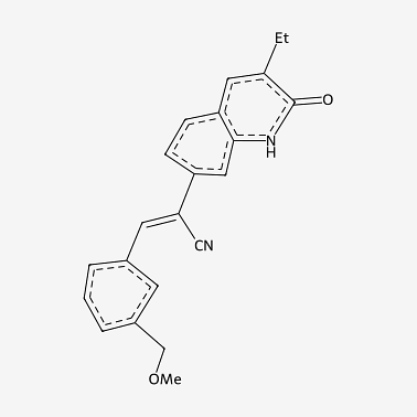 CCc1cc2ccc(/C(C#N)=C/c3cccc(COC)c3)cc2[nH]c1=O